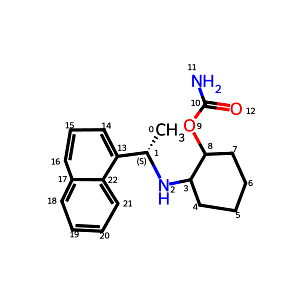 C[C@H](NC1CCCCC1OC(N)=O)c1cccc2ccccc12